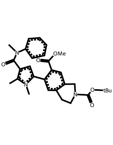 COC(=O)c1cc2c(cc1-c1cc(C(=O)N(C)c3ccccc3)c(C)n1C)CCN(C(=O)OC(C)(C)C)C2